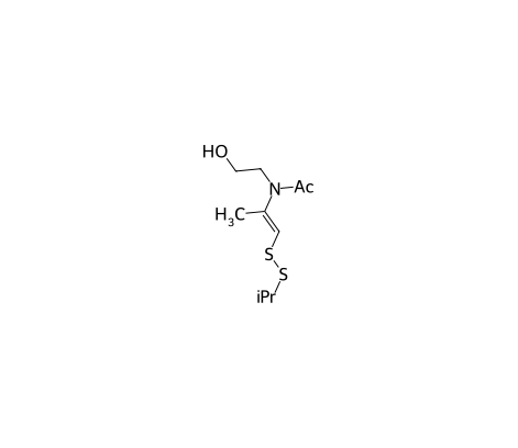 CC(=O)N(CCO)C(C)=CSSC(C)C